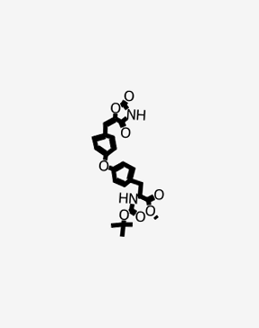 COC(=O)C(Cc1ccc(Oc2ccc(C=C3OC(=O)NC3=O)cc2)cc1)NC(=O)OC(C)(C)C